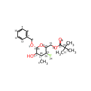 C[C@@H]1C(O)[C@H](OCc2ccccc2)OC(COC(=O)C(C)(C)C)[C@H]1F